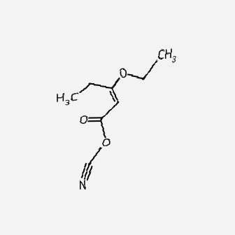 CCOC(=CC(=O)OC#N)CC